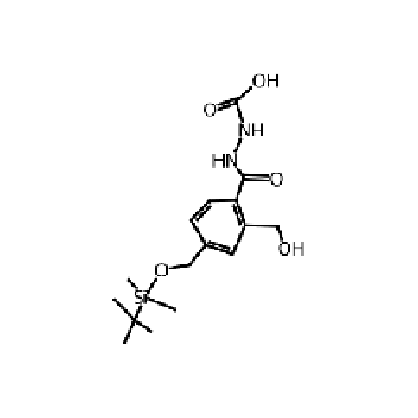 CC(C)(C)[Si](C)(C)OCc1ccc(C(=O)NNC(=O)O)c(CO)c1